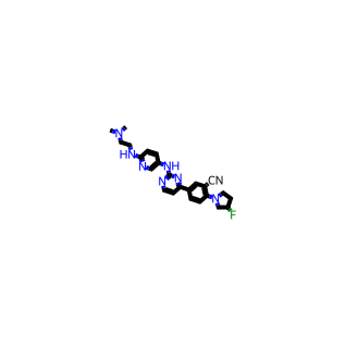 CN(C)CCNc1ccc(Nc2nccc(-c3ccc(N4CCC(F)C4)c(C#N)c3)n2)cn1